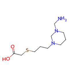 NCN1CCCN(CCCSCC(=O)O)C1